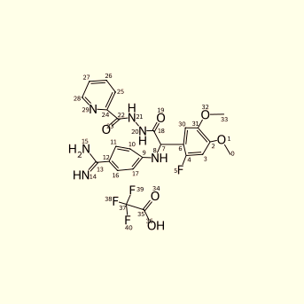 COc1cc(F)c(C(Nc2ccc(C(=N)N)cc2)C(=O)NNC(=O)c2ccccn2)cc1OC.O=C(O)C(F)(F)F